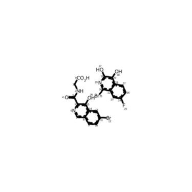 O=C(O)CNC(=O)c1ncc2ccc(Br)cc2c1O.Oc1nc(Br)c2cc(F)ccc2c1O